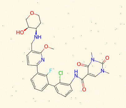 COc1nc(-c2cccc(-c3cccc(NC(=O)c4cn(C)c(=O)n(C)c4=O)c3Cl)c2F)ccc1CN[C@@H]1CCOC[C@@H]1O